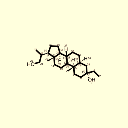 CC[C@@]1(O)CC[C@@]2(C)[C@@H](CC[C@@H]3[C@@H]2CC[C@]2(C)[C@@H](C(C)CO)CC[C@@H]32)C1